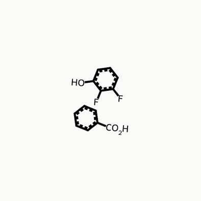 O=C(O)c1ccccc1.Oc1cccc(F)c1F